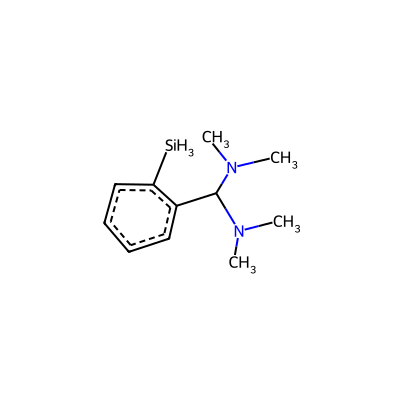 CN(C)C(c1ccccc1[SiH3])N(C)C